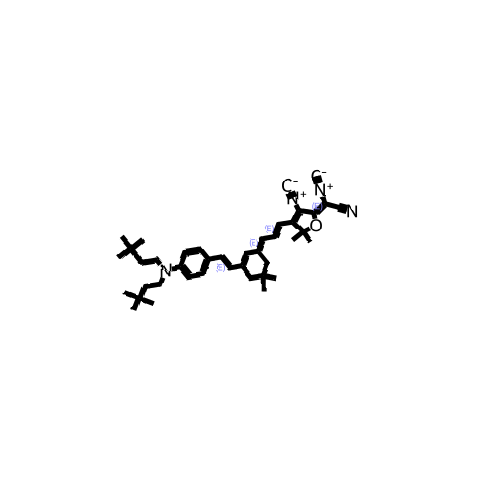 [C-]#[N+]C1=C(/C=C/C=C2C=C(/C=C/c3ccc(N(CCC(C)(C)C)CCC(C)(C)C)cc3)CC(C)(C)C/2)C(C)(C)O/C1=C(\C#N)[N+]#[C-]